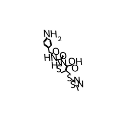 Cc1nnc(SCC2=C(C(=O)O)N3C(=O)C(NC(=O)Cc4ccc(N)cc4)[C@@H]3SC2)s1